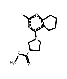 CNC(=O)[C@H]1CCN(c2nc(Cl)nc3c2CCCC3)C1